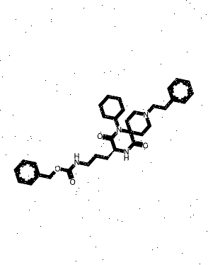 O=C(NCCC[C@@H]1NC(=O)C2(CCN(CCc3ccccc3)CC2)N(C2CCCCC2)C1=O)OCc1ccccc1